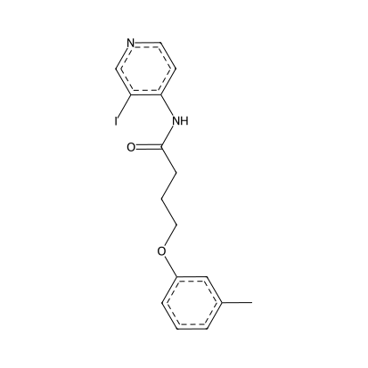 Cc1cccc(OCCCC(=O)Nc2ccncc2I)c1